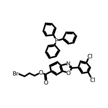 O=C(OCCCBr)c1ccc2nc(-c3cc(Cl)cc(Cl)c3)oc2c1.c1ccc(P(c2ccccc2)c2ccccc2)cc1